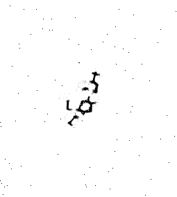 C#CCn1c(C(F)(F)F)nc2cc(F)c(-n3c(=O)cc(C(F)(F)F)[nH]c3=O)cc21